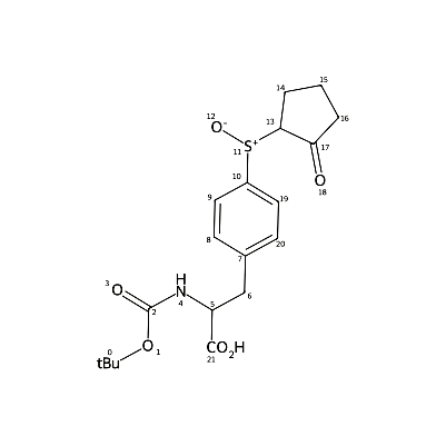 CC(C)(C)OC(=O)NC(Cc1ccc([S+]([O-])C2CCCC2=O)cc1)C(=O)O